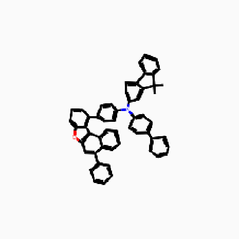 CC1(C)c2ccccc2-c2ccc(N(c3ccc(-c4ccccc4)cc3)c3ccc(-c4cccc5oc6cc(-c7ccccc7)c7ccccc7c6c45)cc3)cc21